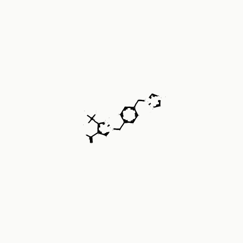 O=C(O)c1cn(Cc2ccc(Cn3cncn3)cc2)nc1C(F)(F)F